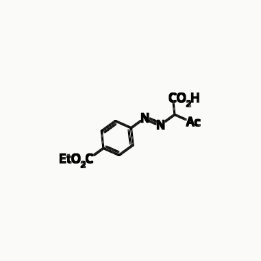 CCOC(=O)c1ccc(N=NC(C(C)=O)C(=O)O)cc1